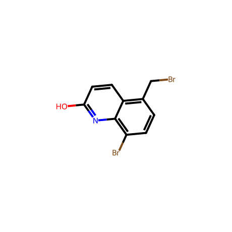 Oc1ccc2c(CBr)ccc(Br)c2n1